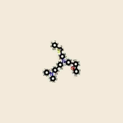 c1ccc(-c2ccc(-c3ccc(N(c4ccc(-c5ccc(N(c6ccccc6)c6ccccc6)cc5)cc4)c4ccc(-c5cccc6c5oc5ccccc56)cc4)cc3)s2)cc1